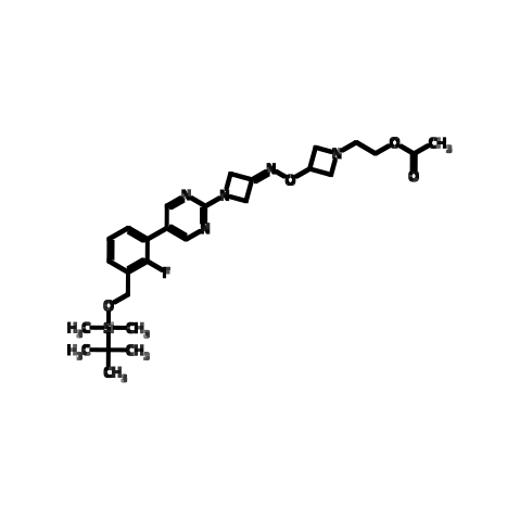 CC(=O)OCCN1CC(ON=C2CN(c3ncc(-c4cccc(CO[Si](C)(C)C(C)(C)C)c4F)cn3)C2)C1